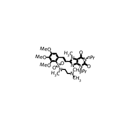 CCCn1c(=O)c2c(nc(C=Cc3cc(OC)c(OC)c(OC)c3S(=O)(=O)N(C)CCN(C)C)n2C)n(CCC)c1=O